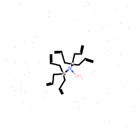 BN([Si](CC=C)(CC=C)CC=C)[Si](CC=C)(CC=C)CC=C